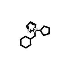 C1=C[N+](CC2CCCCC2)(C2CCCC2)N=C1